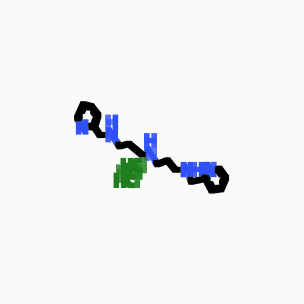 Cl.Cl.Cl.c1ccc(CNCCCNCCCNCc2ccccn2)nc1